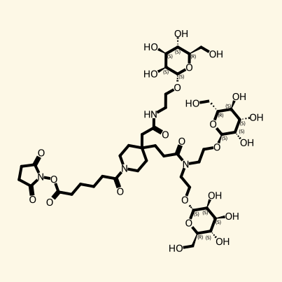 O=C(CC1(CCC(=O)N(CCO[C@H]2O[C@H](CO)[C@@H](O)[C@H](O)[C@@H]2O)CCO[C@H]2O[C@H](CO)[C@@H](O)[C@H](O)[C@@H]2O)CCN(C(=O)CCCCC(=O)ON2C(=O)CCC2=O)CC1)NCCO[C@H]1O[C@H](CO)[C@@H](O)[C@H](O)[C@@H]1O